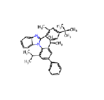 Cc1cc(C(C)(C)C)ccc1-c1nc2ccccc2n1-c1c(C(C)C)cc(-c2ccccc2)cc1C(C)C